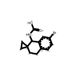 O=C(O)NC1c2cc(Br)ccc2CCC12CC2